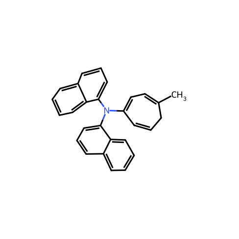 CC1=CC=C(N(c2cccc3ccccc23)c2cccc3ccccc23)C=CC1